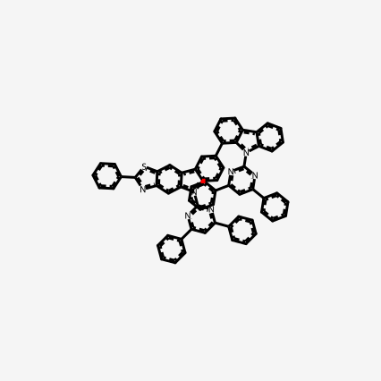 c1ccc(-c2cc(-c3ccccc3)nc(-n3c4ccc(-c5cccc6c7ccccc7n(-c7nc(-c8ccccc8)cc(-c8ccccc8)n7)c56)cc4c4cc5sc(-c6ccccc6)nc5cc43)n2)cc1